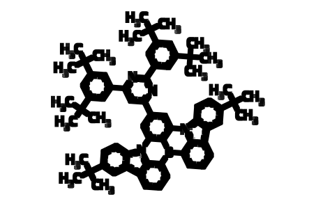 CC(C)(C)c1cc(-c2cc(-c3cc4c5c(c3)-n3c6ccc(C(C)(C)C)cc6c6cccc(c63)B5c3cccc5c6cc(C(C)(C)C)ccc6n-4c35)nc(-c3cc(C(C)(C)C)cc(C(C)(C)C)c3)n2)cc(C(C)(C)C)c1